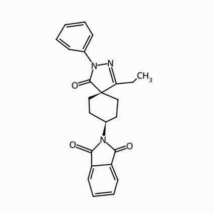 CCC1=NN(c2ccccc2)C(=O)[C@]12CC[C@H](N1C(=O)c3ccccc3C1=O)CC2